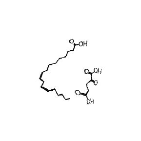 CCCCC/C=C\C/C=C\CCCCCCCC(=O)O.O=C(O)CCC(=O)C(=O)O